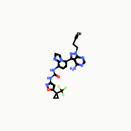 C#CCCn1nc(-c2ccc(NC(=O)Nc3cc(C4(C(F)(F)F)CC4)on3)c3nccn23)c2c(N)ncnc21